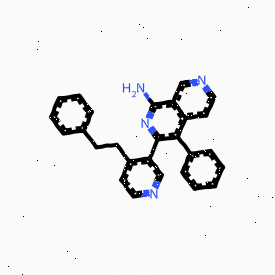 Nc1nc(-c2cnccc2CCc2ccccc2)c(-c2ccccc2)c2ccncc12